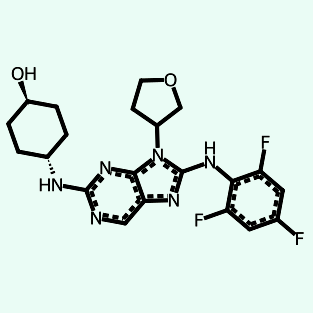 O[C@H]1CC[C@H](Nc2ncc3nc(Nc4c(F)cc(F)cc4F)n(C4CCOC4)c3n2)CC1